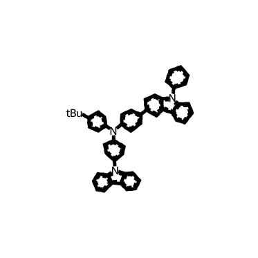 CC(C)(C)c1ccc(N(c2ccc(-c3ccc4c(c3)c3ccccc3n4-c3ccccc3)cc2)c2ccc(-n3c4ccccc4c4ccccc43)cc2)cc1